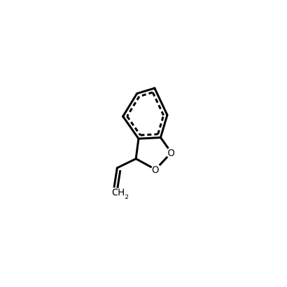 C=CC1OOc2ccccc21